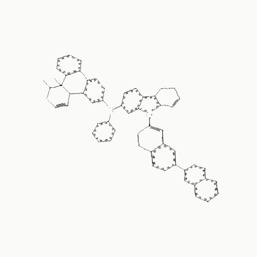 CC1CC=CC2c3cc(N(c4ccccc4)c4ccc5c6c(n(C7=Cc8cc(-c9ccc%10ccccc%10c9)ccc8CC7)c5c4)C=CCC6)ccc3-c3ccccc3C12C